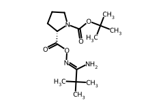 CC(C)(C)OC(=O)N1CCC[C@H]1C(=O)O/N=C(\N)C(C)(C)C